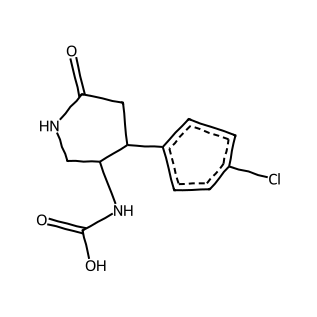 O=C(O)NC1CNC(=O)CC1c1ccc(Cl)cc1